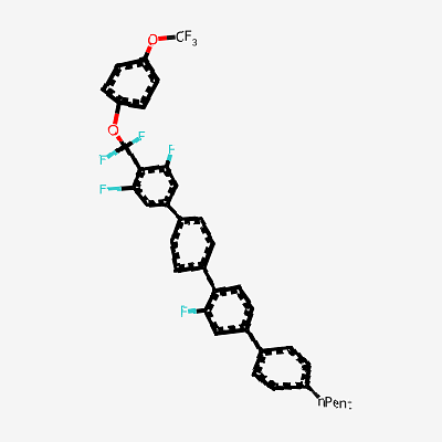 CCCCCc1ccc(-c2ccc(-c3ccc(-c4cc(F)c(C(F)(F)Oc5ccc(OC(F)(F)F)cc5)c(F)c4)cc3)c(F)c2)cc1